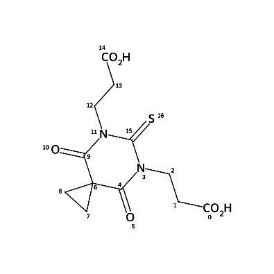 O=C(O)CCN1C(=O)C2(CC2)C(=O)N(CCC(=O)O)C1=S